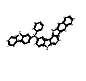 c1ccc(N(c2ccc3c(c2)oc2ccccc23)c2ccc3sc4ccc5c6cc7ccccc7cc6oc5c4c3c2)cc1